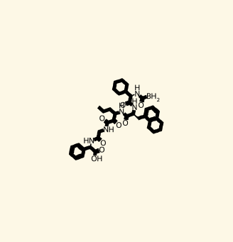 BC(=O)N[C@H](C(=O)N[C@@H](Cc1cccc2c1CCCC2)C(=O)NC(CCC)C(=O)C(=O)NCC(=O)N[C@H](C(=O)O)c1ccccc1)C1CCCCC1